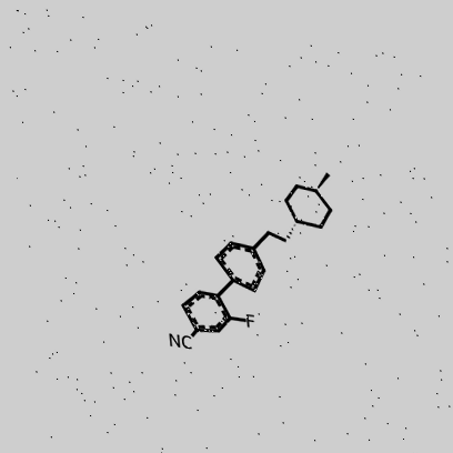 C[C@H]1CC[C@H](CCc2ccc(-c3ccc(C#N)cc3F)cc2)CC1